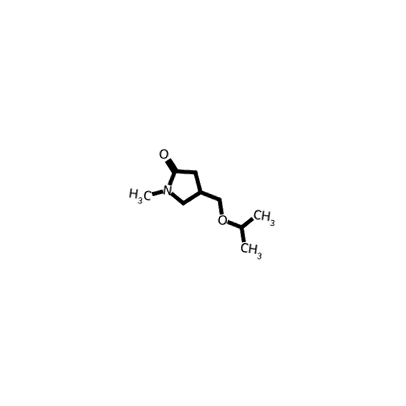 CC(C)OCC1CC(=O)N(C)C1